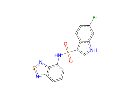 O=S(=O)(Nc1cccc2nsnc12)c1c[nH]c2cc(Br)ccc12